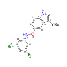 CCCCc1c[nH]c2ccc(ONc3cc(Br)cc(Br)c3)cc12